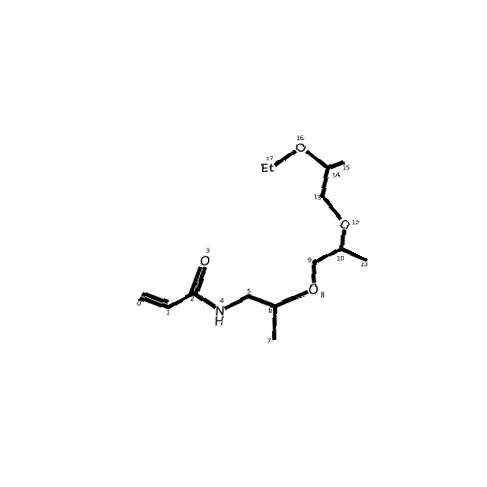 C=CC(=O)NCC(C)OCC(C)OCC(C)OCC